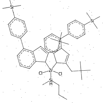 CCC[SiH](C)[Zr]([Cl])([Cl])([CH]1C(CC(C)(C)C)=Cc2c(-c3ccc([Si](C)(C)C)cc3)cccc21)[CH]1C(CC(C)(C)C)=Cc2c(-c3ccc([Si](C)(C)C)cc3)cccc21